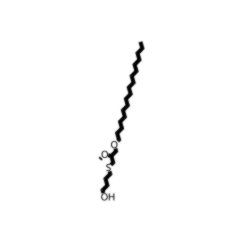 CCCCCCCCCCCCCCCCCCOCC(CSCCCCO)OC